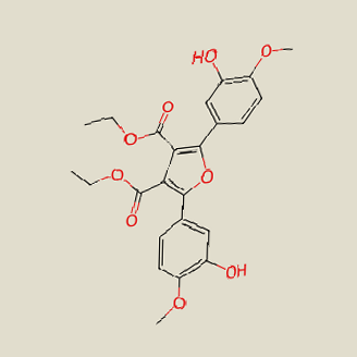 CCOC(=O)c1c(-c2ccc(OC)c(O)c2)oc(-c2ccc(OC)c(O)c2)c1C(=O)OCC